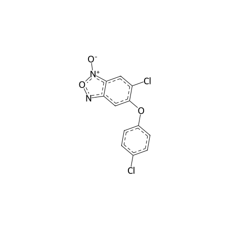 [O-][n+]1onc2cc(Oc3ccc(Cl)cc3)c(Cl)cc21